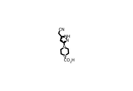 N#CCc1cc(N2CCN(C(=O)O)CC2)n[nH]1